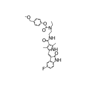 CCN(CCNC(=O)c1c(C)[nH]c(/C=C2\C(=O)Nc3ccc(F)cc32)c1C)C(=O)Oc1ccc(COC)cc1